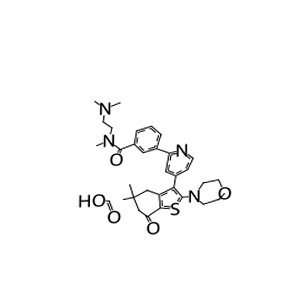 CN(C)CCN(C)C(=O)c1cccc(-c2cc(-c3c(N4CCOCC4)sc4c3CC(C)(C)CC4=O)ccn2)c1.O=CO